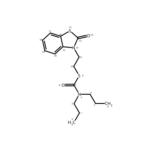 CCCN(CCC)C(=O)SCCn1c(=O)sc2ccccc21